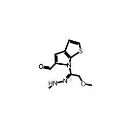 CN/N=C(/COC)n1c(C=O)cc2ccsc21